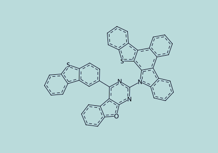 c1ccc2c(c1)oc1nc(-n3c4ccccc4c4c5ccccc5c5c6ccccc6sc5c43)nc(-c3ccc4sc5ccccc5c4c3)c12